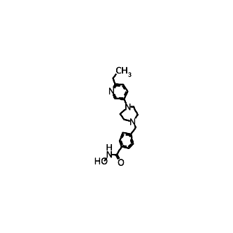 CCc1ccc(N2CCN(Cc3ccc(C(=O)NO)cc3)CC2)cn1